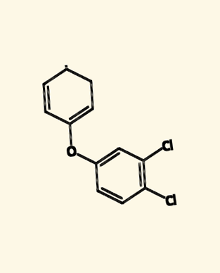 Clc1ccc(OC2=CC[CH]C=C2)cc1Cl